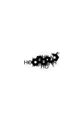 C[C@H]1CC[C@@H]2[C@@H](C)C3(I)C(C[C@H]4[C@@H]5CC=C6C[C@@H](O)CC[C@]6(C)[C@H]5C[C@H](O)[C@@]43C)N2C1